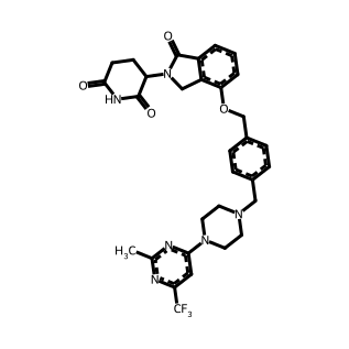 Cc1nc(N2CCN(Cc3ccc(COc4cccc5c4CN(C4CCC(=O)NC4=O)C5=O)cc3)CC2)cc(C(F)(F)F)n1